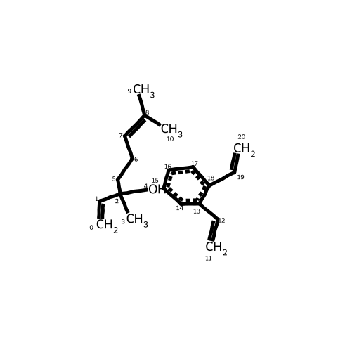 C=CC(C)(O)CCC=C(C)C.C=Cc1ccccc1C=C